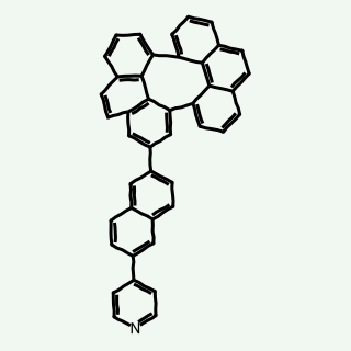 c1cc2ccc3cccc4c5cc(-c6ccc7cc(-c8ccncc8)ccc7c6)cc6ccc7cccc(c(c1)c2c34)c7c65